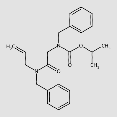 C=CCN(Cc1ccccc1)C(=O)CN(Cc1ccccc1)C(=O)OC(C)C